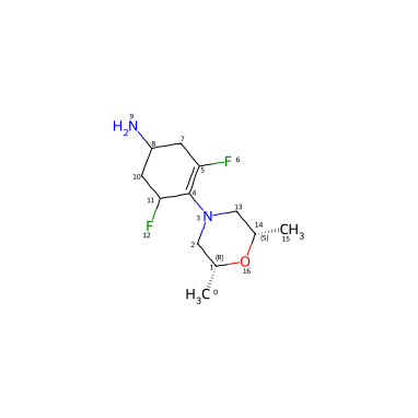 C[C@@H]1CN(C2=C(F)CC(N)CC2F)C[C@H](C)O1